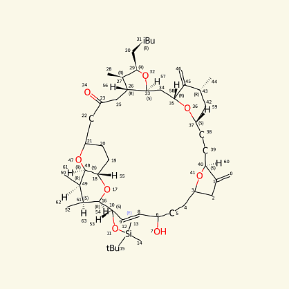 C=C1CC2CCC(O)/C=C/[C@H](O[Si](C)(C)C(C)(C)C)[C@@H]3O[C@H]4CCC(CC(=O)C[C@@H]5[C@@H](C)[C@@H](C[C@H](C)CC)O[C@H]5C[C@H]5O[C@@H](CC[C@@H]1O2)C[C@@H](C)C5=C)O[C@@H]4[C@H](C)[C@@H]3C